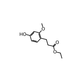 CCOC(=O)CCc1ccc(O)cc1OC